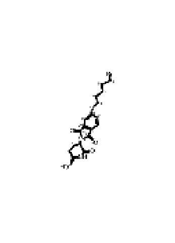 C=C1CCC(N2C(=O)c3ccc(OCCCCCBr)cc3C2=O)C(=O)N1